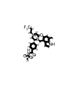 COc1cc(C)c2[nH]ccc2c1CN1CCN(CCC(F)(F)F)C[C@H]1c1ccc(C(=O)NS(C)(=O)=O)cc1